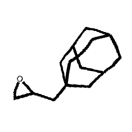 C1C2CC3CC1CC(CC1CO1)(C2)C3